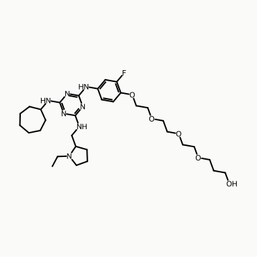 CCN1CCCC1CNc1nc(Nc2ccc(OCCOCCOCCOCCCO)c(F)c2)nc(NC2CCCCCC2)n1